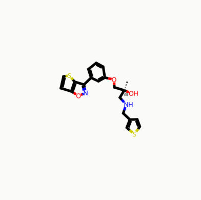 C[C@](O)(CNCc1ccsc1)COc1cccc(-c2noc3ccsc23)c1